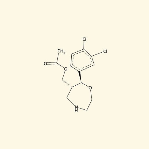 CC(=O)OC[C@H]1CNCCO[C@@H]1c1ccc(Cl)c(Cl)c1